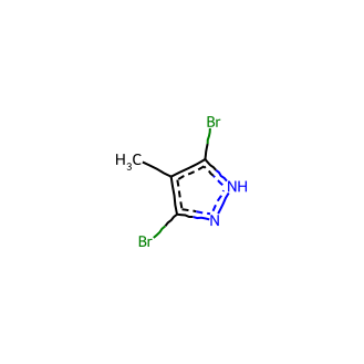 Cc1c(Br)n[nH]c1Br